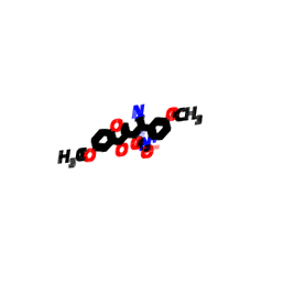 COc1ccc([N+](=O)[O-])c(/C(C#N)=C/c2coc3ccc(OC)cc3c2=O)c1